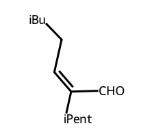 CCCC(C)C(C=O)=CCC(C)CC